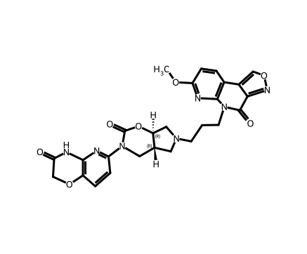 COc1ccc2c3conc3c(=O)n(CCCN3C[C@@H]4CN(c5ccc6c(n5)NC(=O)CO6)C(=O)O[C@H]4C3)c2n1